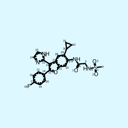 CS(=O)(=O)NCC(=O)Nc1cc2oc(-c3ccc(F)cc3)c(-c3ncc[nH]3)c2cc1C1CC1